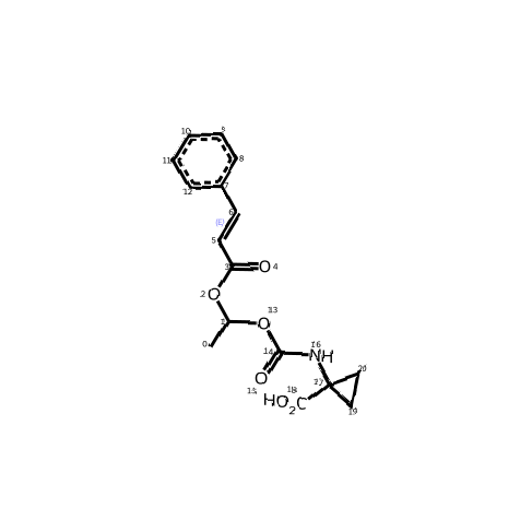 CC(OC(=O)/C=C/c1ccccc1)OC(=O)NC1(C(=O)O)CC1